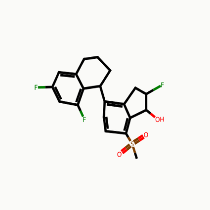 CS(=O)(=O)c1ccc(C2CCCc3cc(F)cc(F)c32)c2c1C(O)C(F)C2